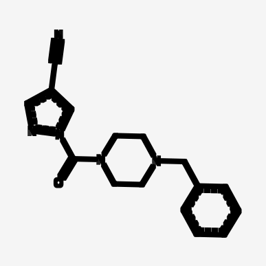 N#Cc1cnn(C(=O)N2CCN(Cc3ccccc3)CC2)c1